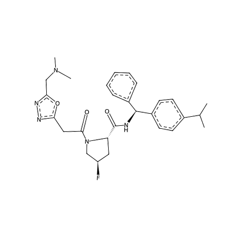 CC(C)c1ccc([C@@H](NC(=O)[C@@H]2C[C@@H](F)CN2C(=O)Cc2nnc(CN(C)C)o2)c2ccccc2)cc1